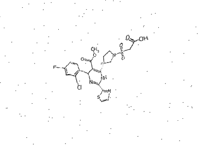 COC(=O)C1=C([C@@H]2CCN(S(=O)(=O)CC(=O)O)C2)NC(c2nccs2)=NC1c1ccc(F)cc1Cl